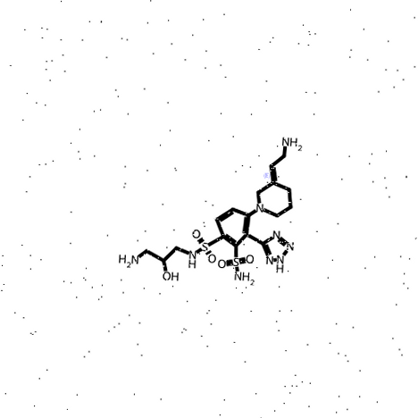 NC/C=C1\CCCN(c2ccc(S(=O)(=O)NCC(O)CN)c(S(N)(=O)=O)c2-c2nn[nH]n2)C1